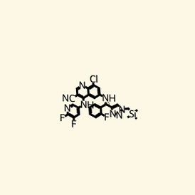 C[Si](C)(C)Cn1cc([C@@H](Nc2cc(Cl)c3ncc(C#N)c(Nc4cnc(F)c(F)c4)c3c2)c2ccccc2F)nn1